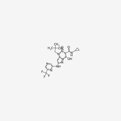 CC(C)(C)Cn1c(=O)c(C(=O)NC2CC2)c(O)n2nc(Nc3cncc(C(F)(F)F)n3)cc12